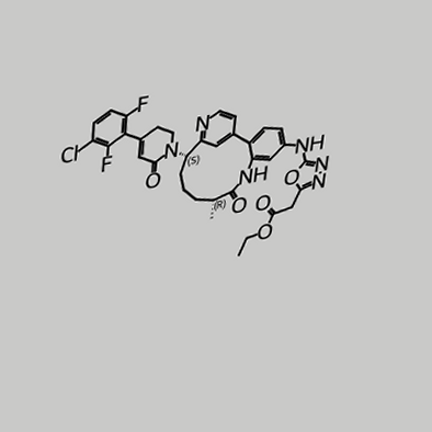 CCOC(=O)Cc1nnc(Nc2ccc3c(c2)NC(=O)[C@H](C)CCC[C@H](N2CCC(c4c(F)ccc(Cl)c4F)=CC2=O)c2cc-3ccn2)o1